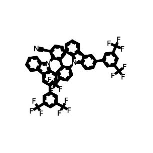 N#Cc1cccc(-c2cc(C(F)(F)F)ccc2-n2c3ccccc3c3cc(-c4cc(C(F)(F)F)cc(C(F)(F)F)c4)ccc32)c1-n1c2ccccc2c2cc(-c3cc(C(F)(F)F)cc(C(F)(F)F)c3)ccc21